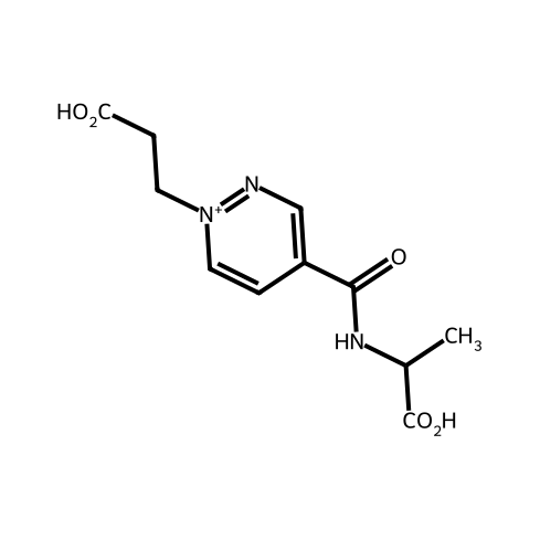 CC(NC(=O)c1cc[n+](CCC(=O)O)nc1)C(=O)O